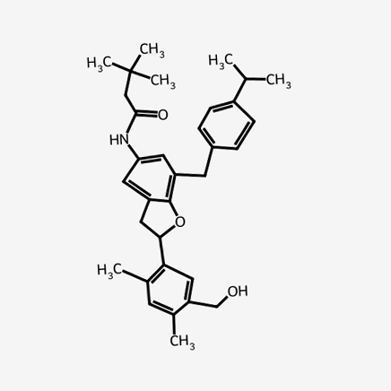 Cc1cc(C)c(C2Cc3cc(NC(=O)CC(C)(C)C)cc(Cc4ccc(C(C)C)cc4)c3O2)cc1CO